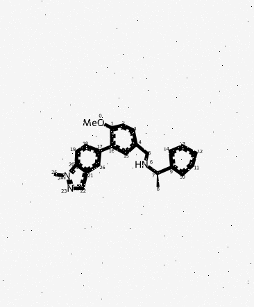 COc1ccc(CN[C@H](C)c2ccccc2)cc1-c1ccc2c(cnn2C)c1